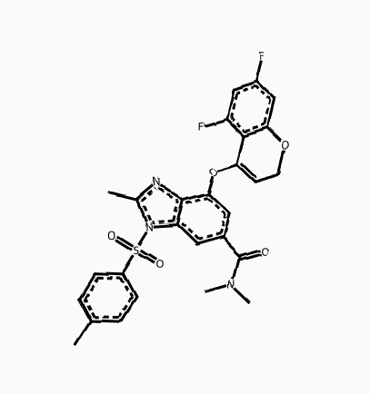 Cc1ccc(S(=O)(=O)n2c(C)nc3c(OC4=CCOc5cc(F)cc(F)c54)cc(C(=O)N(C)C)cc32)cc1